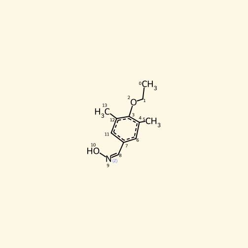 CCOc1c(C)cc(/C=N\O)cc1C